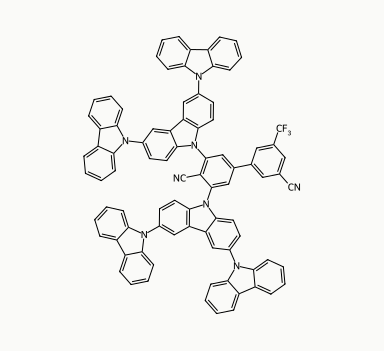 N#Cc1cc(-c2cc(-n3c4ccc(-n5c6ccccc6c6ccccc65)cc4c4cc(-n5c6ccccc6c6ccccc65)ccc43)c(C#N)c(-n3c4ccc(-n5c6ccccc6c6ccccc65)cc4c4cc(-n5c6ccccc6c6ccccc65)ccc43)c2)cc(C(F)(F)F)c1